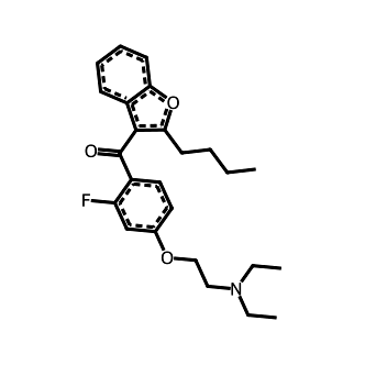 CCCCc1oc2ccccc2c1C(=O)c1ccc(OCCN(CC)CC)cc1F